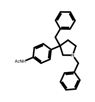 CC(=O)Nc1ccc(C2(Cc3ccccc3)CCN(Cc3ccccc3)C2)cc1